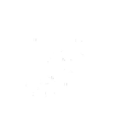 CCOC(=O)CN(CC(=O)C(C)NC(=O)OC(C)(C)C)Cc1ccccc1